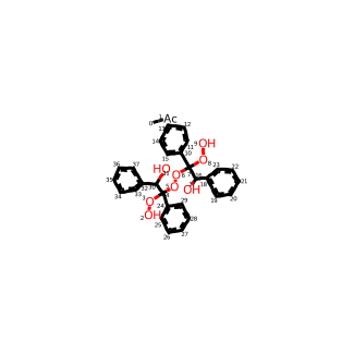 CC(C)=O.OOC(OOC(OO)(c1ccccc1)C(O)c1ccccc1)(c1ccccc1)C(O)c1ccccc1